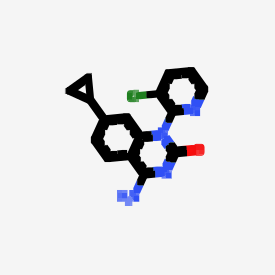 Nc1nc(=O)n(-c2ncccc2Cl)c2cc(C3CC3)ccc12